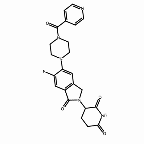 O=C1CCC(N2Cc3cc(N4CCN(C(=O)c5ccncc5)CC4)c(F)cc3C2=O)C(=O)N1